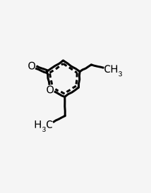 CCc1cc(CC)oc(=O)c1